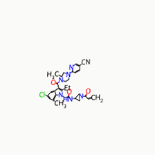 C=CC(=O)N1CC(NC(=O)Cn2c(CC)c(C(=O)N3CCN(c4ccc(C#N)cn4)CC3C)c3cc(Cl)cc(C)c32)C1